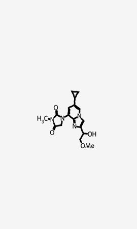 COCC(O)c1cn2cc(C3CC3)cc(N3CC(=O)N(C)C3=O)c2n1